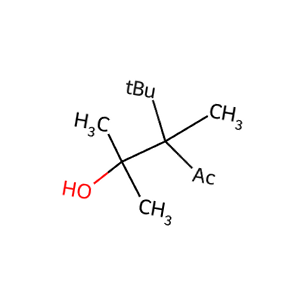 CC(=O)C(C)(C(C)(C)C)C(C)(C)O